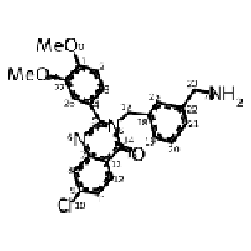 COc1ccc(-c2nc3cc(Cl)ccc3c(=O)n2Cc2cccc(CN)c2)cc1OC